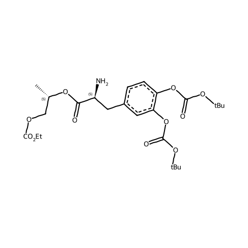 CCOC(=O)OC[C@H](C)OC(=O)[C@@H](N)Cc1ccc(OC(=O)OC(C)(C)C)c(OC(=O)OC(C)(C)C)c1